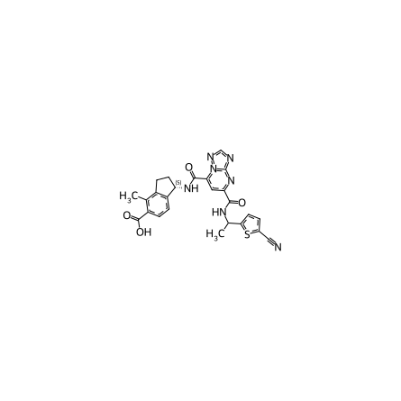 Cc1c(C(=O)O)ccc2c1CC[C@@H]2NC(=O)c1cc(C(=O)NC(C)c2ccc(C#N)s2)nc2ncnn12